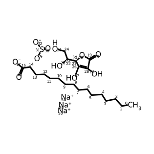 CCCCCCCCCCCCCCCC(=O)[O-].O=C1O[C@H]([C@@H](O)CO)C(O)=C1O.O=S([O-])[O-].[Na+].[Na+].[Na+]